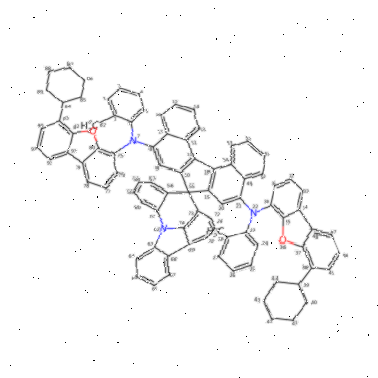 Cc1ccccc1N(c1cc2c(c3ccccc13)-c1c(cc(N(c3ccccc3C)c3cccc4c3oc3c(C5CCCCC5)cccc34)c3ccccc13)C21c2ccccc2-n2c3ccccc3c3cccc1c32)c1cccc2c1oc1c(C3CCCCC3)cccc12